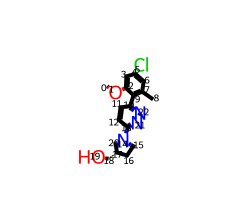 COc1cc(Cl)cc(C)c1-c1ccc(N2CC[C@H](CO)C2)nn1